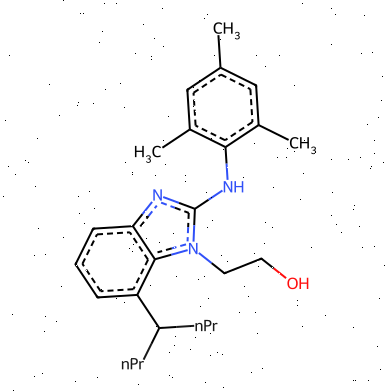 CCCC(CCC)c1cccc2nc(Nc3c(C)cc(C)cc3C)n(CCO)c12